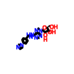 OC[C@H]1O[C@@H](n2cnc3c(N/N=C/c4ccc(-n5ccnc5)cc4)ncnc32)C(O)C1O